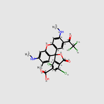 CNc1cc2c(cc1C)C1(OC(=O)c3c(Cl)cc(C(=O)O)c(Cl)c31)c1cc(C(=O)C(F)(F)F)c(NC)cc1O2